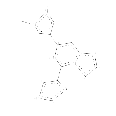 Cn1cc(-c2cc3nccn3c(-c3cc[nH]c3)n2)cn1